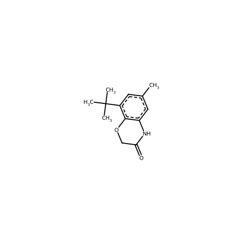 Cc1cc2c(c(C(C)(C)C)c1)OCC(=O)N2